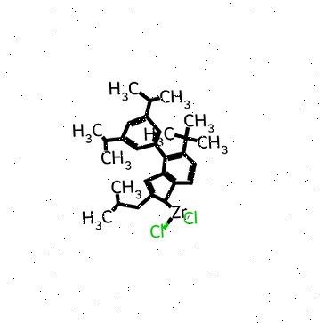 CC(C)CC1=Cc2c(ccc(C(C)(C)C)c2-c2cc(C(C)C)cc(C(C)C)c2)[CH]1[Zr]([Cl])[Cl]